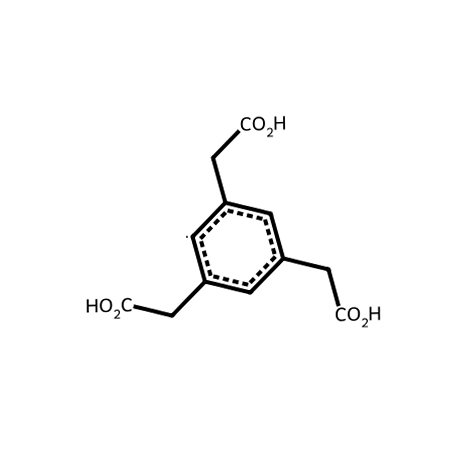 O=C(O)Cc1[c]c(CC(=O)O)cc(CC(=O)O)c1